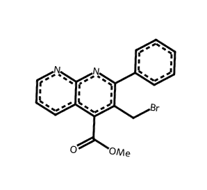 COC(=O)c1c(CBr)c(-c2ccccc2)nc2ncccc12